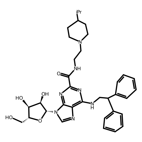 CC(C)C1CCN(CCNC(=O)c2nc(NCC(c3ccccc3)c3ccccc3)c3ncn([C@@H]4O[C@H](CO)[C@@H](O)[C@H]4O)c3n2)CC1